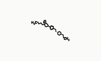 CCCCCC1(C=O)CCC(c2ccc(CC[C@H]3CC[C@H](CCC)CC3)cc2)CC1